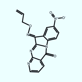 C=CCO/N=C1\c2cc([N+](=O)[O-])ccc2-n2c1nc1ncccc1c2=O